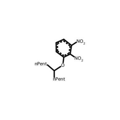 CCCCCC(CCCCC)Oc1cccc([N+](=O)[O-])c1[N+](=O)[O-]